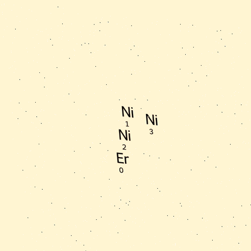 [Er].[Ni].[Ni].[Ni]